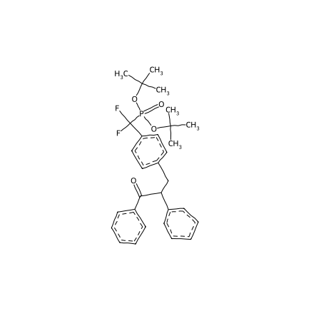 CC(C)(C)OP(=O)(OC(C)(C)C)C(F)(F)c1ccc(CC(C(=O)c2ccccc2)c2ccccc2)cc1